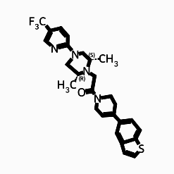 C[C@@H]1CN(c2ccc(C(F)(F)F)cn2)C[C@H](C)N1CC(=O)N1CC=C(c2ccc3sccc3c2)CC1